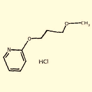 COCCCOc1ccccn1.Cl